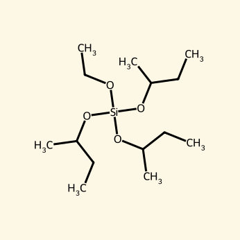 CCO[Si](OC(C)CC)(OC(C)CC)OC(C)CC